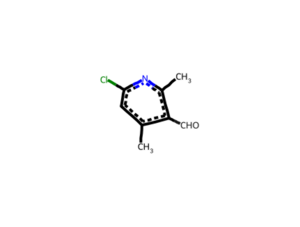 Cc1cc(Cl)nc(C)c1C=O